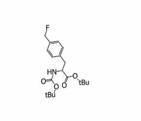 CC(C)(C)OC(=O)NC(Cc1ccc(CF)cc1)C(=O)OC(C)(C)C